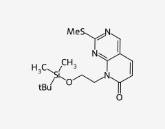 CSc1ncc2ccc(=O)n(CCO[Si](C)(C)C(C)(C)C)c2n1